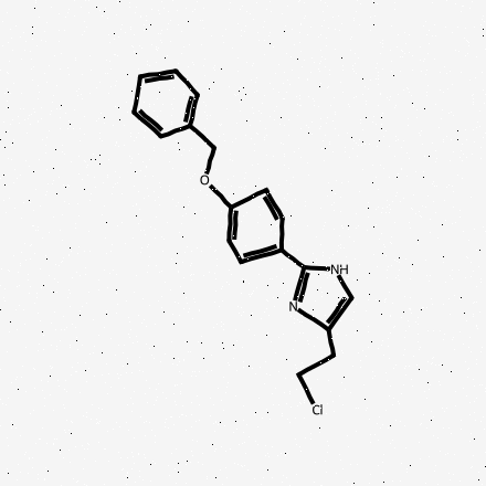 ClCCc1c[nH]c(-c2ccc(OCc3ccccc3)cc2)n1